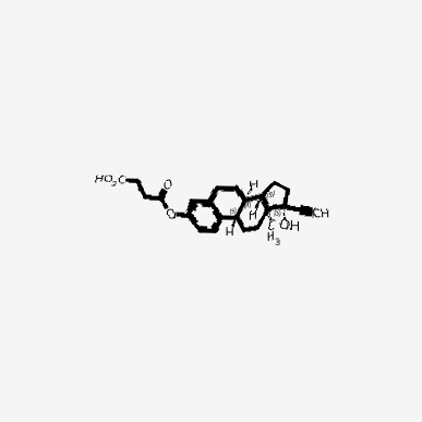 C#C[C@]1(O)CC[C@H]2[C@@H]3CCc4cc(OC(=O)CCC(=O)O)ccc4[C@H]3CC[C@@]21C